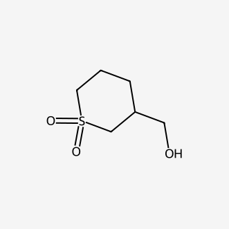 O=S1(=O)CCCC(CO)C1